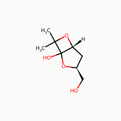 CC1(C)O[C@@H]2C[C@@H](CO)OC21O